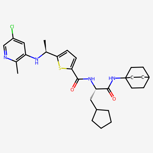 Cc1ncc(Cl)cc1N[C@@H](C)c1ccc(C(=O)N[C@@H](CC2CCCC2)C(=O)NC23CCC(CC2)CC3)s1